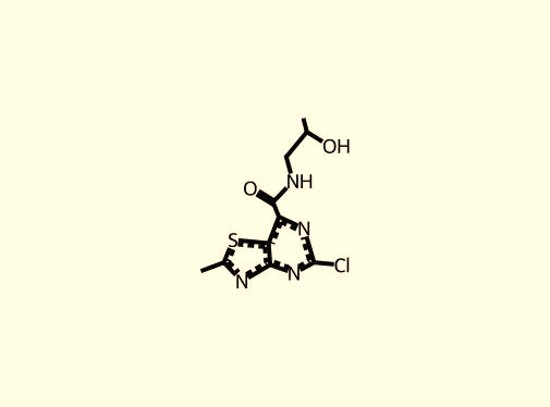 Cc1nc2nc(Cl)nc(C(=O)NCC(C)O)c2s1